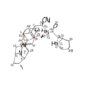 N#C[C@H](Cc1ccc(N2C3CCC2CN(C2CCOC2)C3)cc1F)NC(=O)C1NC2CCC1C2